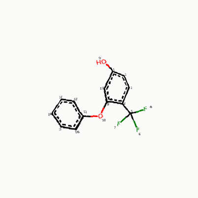 Oc1ccc(C(F)(F)F)c(Oc2ccccc2)c1